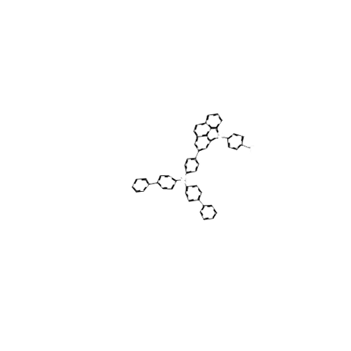 Fc1ccc(-n2c3cccc4ccc5cc(-c6ccc(N(c7ccc(-c8ccccc8)cc7)c7ccc(-c8ccccc8)cc7)cc6)cc2c5c43)cc1